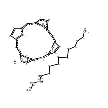 C1=Cc2cc3ccc(cc4nc(cc5ccc(cc1n2)[nH]5)C=C4)[nH]3.CCCCCCCCCCNNNN.[Au]